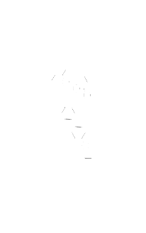 C=C(C)COc1ccc(-c2ccc(CC(COC(=C)C(=C)C)COC(=O)C(=C)C)cc2)cc1